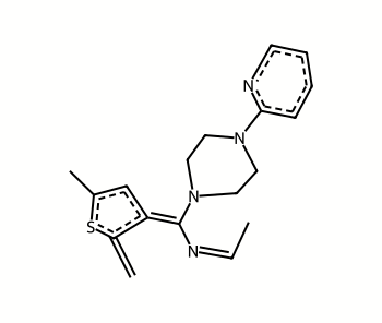 C=c1sc(C)c/c1=C(/N=C\C)N1CCN(c2ccccn2)CC1